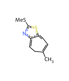 CSc1nc2c(s1)=CC=C(C)CC=2